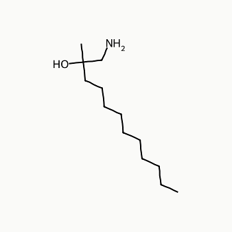 CCCCCCCCCCC(C)(O)CN